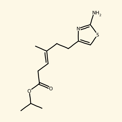 CC(=CCC(=O)OC(C)C)CCc1csc(N)n1